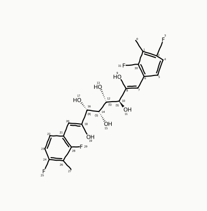 Cc1c(F)ccc(C=C(O)[C@@H](O)[C@@H](O)[C@H](O)[C@@H](O)C(O)=Cc2ccc(F)c(C)c2F)c1F